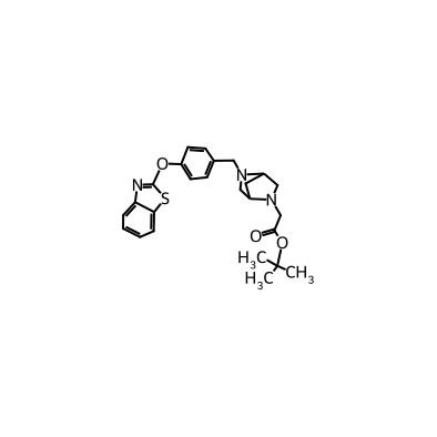 CC(C)(C)OC(=O)CN1CC2CC1CN2Cc1ccc(Oc2nc3ccccc3s2)cc1